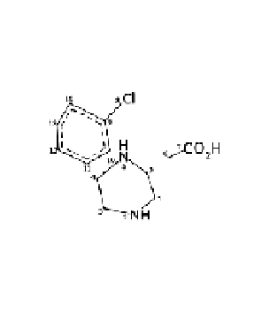 C1CNCCN1.CC(=O)O.Clc1ccccc1